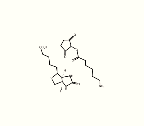 NCCCCCC(=O)ON1C(=O)CCC1=O.O=C(O)CCCC[C@@H]1SC[C@@H]2NC(=O)N[C@@H]21